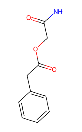 [NH]C(=O)COC(=O)Cc1ccccc1